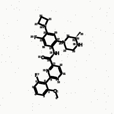 COc1cccc(F)c1-c1nccc(C(=O)Nc2cc(F)c(N3CCC3)cc2N2CCN[C@@H](C)C2)n1